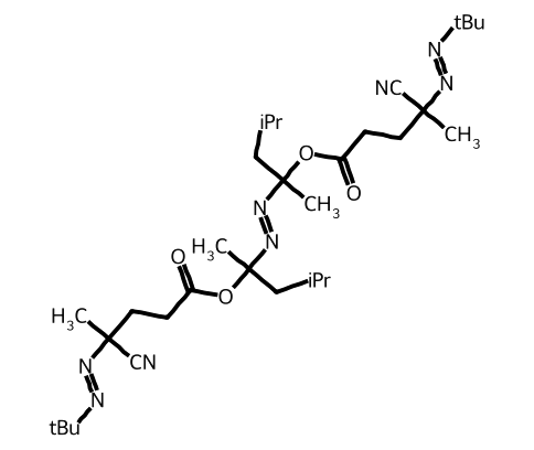 CC(C)CC(C)(N=NC(C)(CC(C)C)OC(=O)CCC(C)(C#N)N=NC(C)(C)C)OC(=O)CCC(C)(C#N)N=NC(C)(C)C